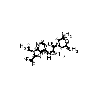 CCn1c(C(F)F)nc2c(NC(C)C(=O)N3CC(C)OC(C)C3)ncnc21